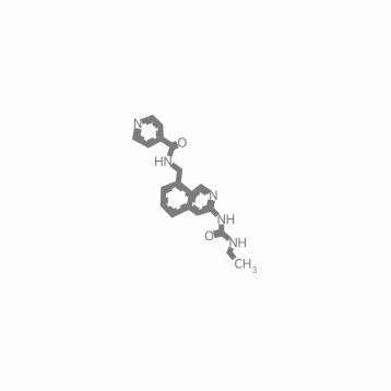 CCNC(=O)Nc1cc2cccc(CNC(=O)c3ccncc3)c2cn1